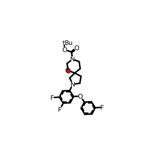 CC(C)(C)OC(=O)N1CCC2(CCN(c3cc(F)c(F)cc3Oc3cccc(F)c3)C2)C2(C1)OCCO2